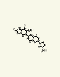 CNC1CCN(c2ccc3nc(-c4cn5cc(C)nc5c(C)c4O)ncc3n2)C1